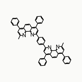 Cc1cc(-c2ccccc2)c2ccc3c(-c4ccccc4)cc(-c4ccc(-c5cc(-c6ccccc6)c6ccc7c(-c8ccccc8)cc(C)nc7c6n5)cc4)nc3c2n1